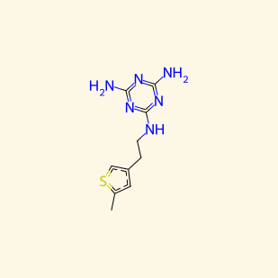 Cc1cc(CCNc2nc(N)nc(N)n2)cs1